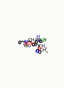 C[C@H](CCN(CCCc1ccccc1)C(=O)OC(C)(C)C)COc1ccc2c(c1)C1(CCC(Nc3cccc(Cl)c3)(C(=O)O)CC1)[C@@H](C[C@@H](C)COc1ccnc3c1[C@H](C)CCC3)C2